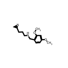 COc1ccc(CNCCCC2C=N2)c(OC)c1